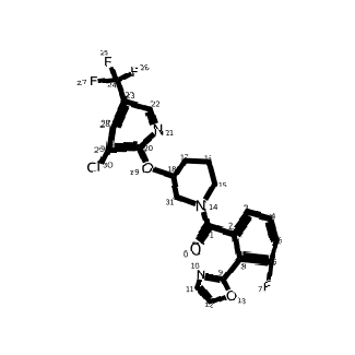 O=C(c1cccc(F)c1-c1ncco1)N1CCCC(Oc2ncc(C(F)(F)F)cc2Cl)C1